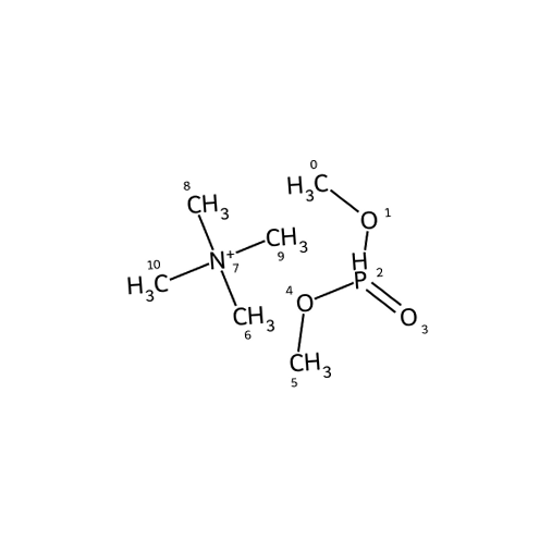 CO[PH](=O)OC.C[N+](C)(C)C